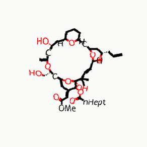 C=CC[C@H]1CC2C[C@H]3CCC[C@@H](C[C@@H](O)CC(=C)O[C@@H](CO)CC4C/C(=C\C(=O)OC)[C@H](OC(=O)CCCCCCC)[C@@](O)(O4)C(C)(C)/C=C/[C@H](O2)O1)O3